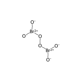 [O-][Br+2]([O-])OO[Br+2]([O-])[O-]